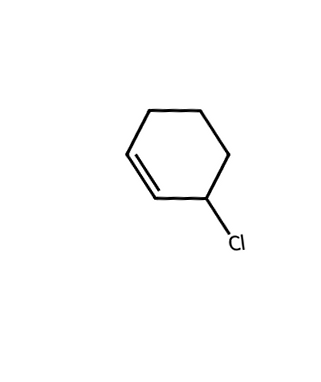 ClC1C=CCCC1